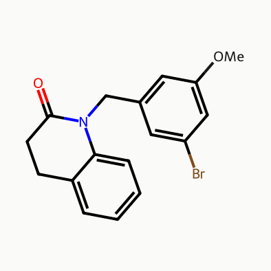 COc1cc(Br)cc(CN2C(=O)CCc3ccccc32)c1